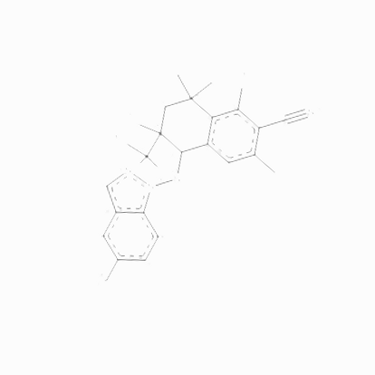 Cc1cc2c(c(O)c1C#N)C(C)(C)CC(O)(C(F)(F)F)C2Nn1ncc2cc(Cl)ccc21